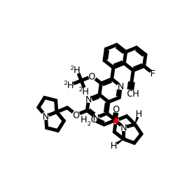 [2H]C([2H])([2H])Oc1c(-c2cccc3ccc(F)c(C#C)c23)ncc2c(N3C[C@H]4CC[C@@H](C3)N4C(=O)C=C)nc(OCC34CCCN3CCC4)nc12